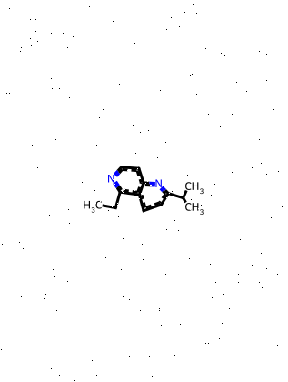 CCc1nccc2nc(C(C)C)ccc12